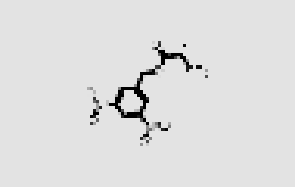 C[C@H](N)C(=O)OCc1cc([N+](=O)[O-])cc([N+](=O)[O-])c1